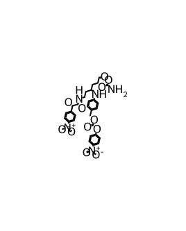 NC(=O)OC(C=O)CC(CCNC(=O)C(=O)c1ccc([N+](=O)[O-])cc1)Nc1ccc(COC(=O)Oc2ccc([N+](=O)[O-])cc2)cc1